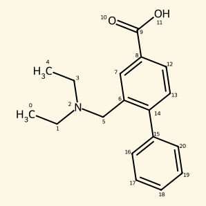 CCN(CC)Cc1cc(C(=O)O)ccc1-c1ccccc1